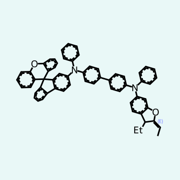 C/C=C1/Oc2cc(N(c3ccccc3)c3ccc(-c4ccc(N(c5ccccc5)c5ccc6c(c5)C5(c7ccccc7Oc7ccccc75)c5ccccc5-6)cc4)cc3)ccc2C1CC